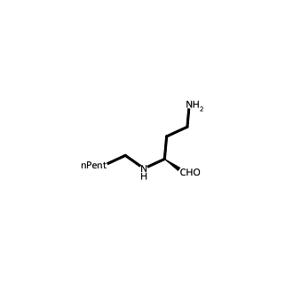 CCCCCCN[C@H](C=O)CCN